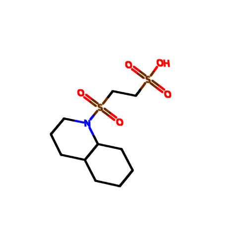 O=S(=O)(O)CCS(=O)(=O)N1CCCC2CCCCC21